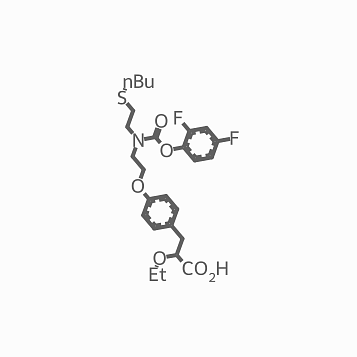 CCCCSCCN(CCOc1ccc(CC(OCC)C(=O)O)cc1)C(=O)Oc1ccc(F)cc1F